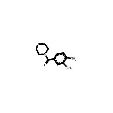 Cc1cc(C(=O)N2CCOCC2)ccc1N